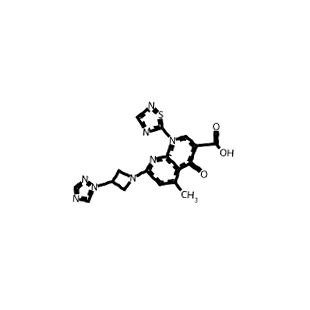 Cc1cc(N2CC(n3cncn3)C2)nc2c1c(=O)c(C(=O)O)cn2-c1ncns1